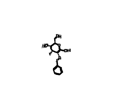 OC[C@H]1OC(O)[C@H](OSc2ccccc2)[C@H](F)[C@@H]1O